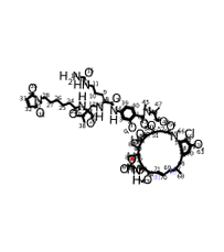 COc1cc(NC(=O)[C@H](CCCNC(N)=O)NC[C@](C=O)(NC(=O)CCCCCN2C(=O)C=CC2=O)C(C)C)ccc1C(=O)N(C)[C@@H](C)C(=O)O[C@H]1CC(=O)N(C)c2cc(cc(OC)c2Cl)C/C(C)=C/C=C/[C@@H](OC)[C@@]2(O)C[C@H](OC(=O)N2)[C@@H](C)[C@@H]2O[C@@]12C